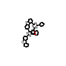 c1ccc(-c2nc(-c3ccccc3)nc(-c3cccc4sc5ccc(-c6nc(-c7ccc8oc9ccccc9c8c7)nc7c6oc6ccccc67)cc5c34)n2)cc1